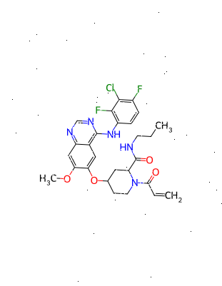 C=CC(=O)N1CCC(Oc2cc3c(Nc4ccc(F)c(Cl)c4F)ncnc3cc2OC)CC1C(=O)NCCC